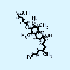 Cc1c(C)c2c(c(C)c1OCCCCC(=O)O)CCC(C)(CCCC(C)CCCC(C)C)O2